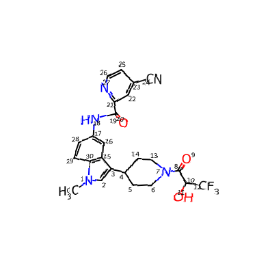 Cn1cc(C2CCN(C(=O)C(O)C(F)(F)F)CC2)c2cc(NC(=O)c3cc(C#N)ccn3)ccc21